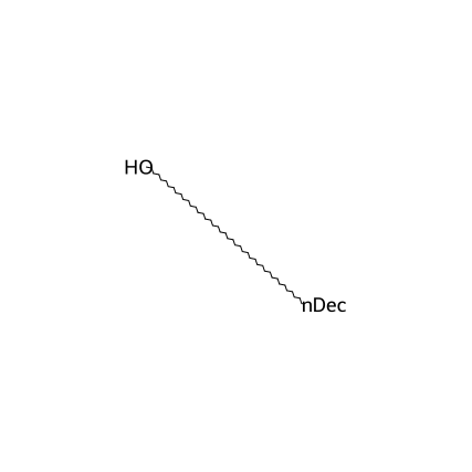 CCCCCCCCCCCCCCCCCCCCCCCCCCCCCCCCCCCCCCCCCCCCCCCCCCCCO